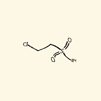 CC(C)S(=O)(=O)CCCl